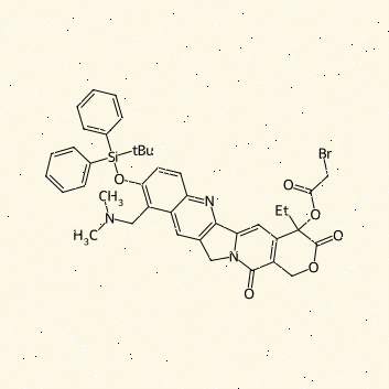 CCC1(OC(=O)CBr)C(=O)OCc2c1cc1n(c2=O)Cc2cc3c(CN(C)C)c(O[Si](c4ccccc4)(c4ccccc4)C(C)(C)C)ccc3nc2-1